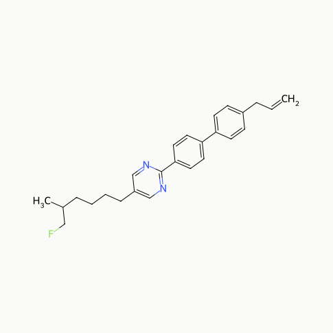 C=CCc1ccc(-c2ccc(-c3ncc(CCCCC(C)CF)cn3)cc2)cc1